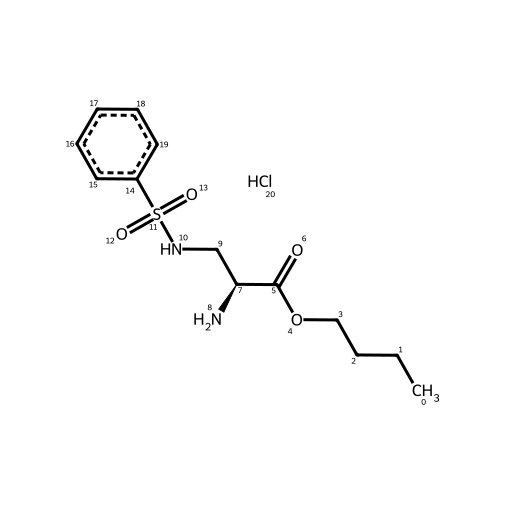 CCCCOC(=O)[C@@H](N)CNS(=O)(=O)c1ccccc1.Cl